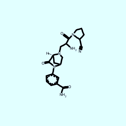 N#CC1CCCN1C(=O)C(N)CN1CC2C[C@H]1C(=O)N2c1cccc(C(N)=O)c1